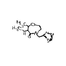 CNC1C(=O)N(Cc2nncs2)CCOC1C